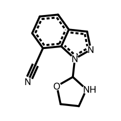 N#Cc1cccc2cnn(C3NCCO3)c12